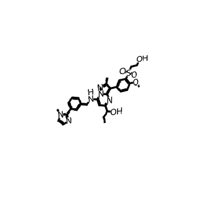 CCC(O)c1cc(NCc2cccc(-c3nccn3C)c2)n2nc(C)c(-c3ccc(OC)c(S(=O)(=O)CCO)c3)c2n1